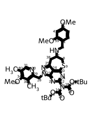 COc1ccc(CNC2CSc3nc(N(C(=O)OC(C)(C)C)C(=O)OC(C)(C)C)nc4c3c(nn4Cc3ncc(C)c(OC)c3C)C2)c(OC)c1